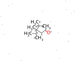 CC(C)C(C)(CC=O)C(C)C